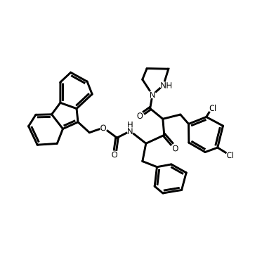 O=C(NC(Cc1ccccc1)C(=O)C(Cc1ccc(Cl)cc1Cl)C(=O)N1CCCN1)OCC1=C2CC=CC=C2c2ccccc21